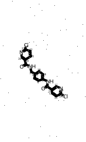 O=C(NCc1ccc(NC(=O)c2ccc(Cl)nc2)cc1)c1ccc(Cl)nc1